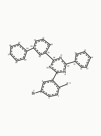 Fc1ccc(Br)cc1-c1nc(-c2ccccc2)nc(-c2cccc(-c3ccccc3)c2)n1